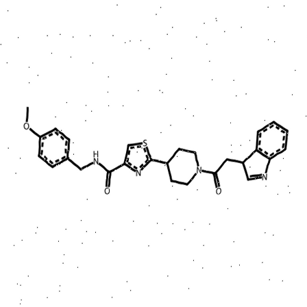 COc1ccc(CNC(=O)c2csc(C3CCN(C(=O)CC4C=Nc5ccccc54)CC3)n2)cc1